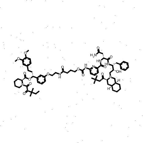 CCC(C)(C)C(=O)C(=O)N1CCCC[C@H]1C(=O)O[C@H](CCc1ccc(OC)c(OC)c1)c1cccc(OCCNC(=O)CCCOC(=O)Nc2cccc(C(=O)N[C@H](CC(N)=O)C(=O)N[C@H](Cc3ccccc3)[C@H](O)CN3C[C@H]4CCCC[C@H]4C[C@H]3C(=O)CC(C)(C)C)n2)c1